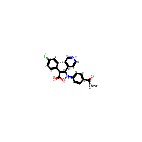 COC(=O)c1ccc(-n2oc(=O)c(-c3ccc(F)cc3)c2-c2ccncc2)cc1